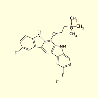 C[N+](C)(C)CCOc1c2[nH]c3ccc(F)cc3c2cc2c1[nH]c1ccc(F)cc12.[I-]